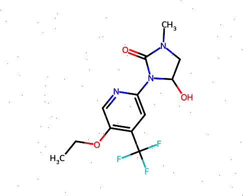 CCOc1cnc(N2C(=O)N(C)CC2O)cc1C(F)(F)F